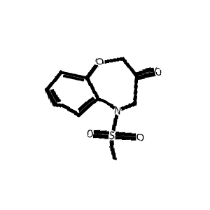 CS(=O)(=O)N1CC(=O)COc2ccccc21